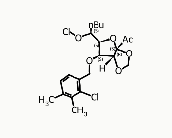 CCCC[C@H](OCl)[C@H]1O[C@]2(C(C)=O)OCO[C@@H]2[C@H]1OCc1ccc(C)c(C)c1Cl